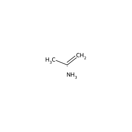 C=[C]C.N